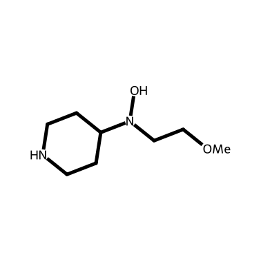 COCCN(O)C1CCNCC1